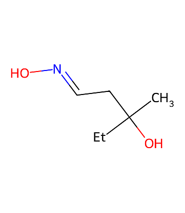 CCC(C)(O)C/C=N/O